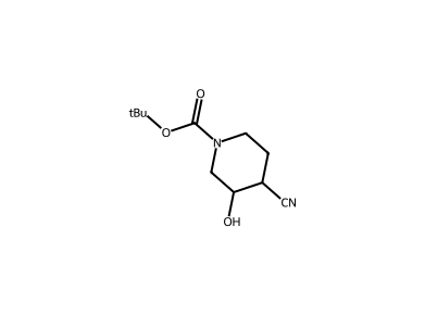 CC(C)(C)OC(=O)N1CCC(C#N)C(O)C1